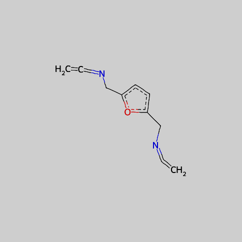 C=C=NCc1ccc(CN=C=C)o1